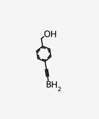 BC#Cc1ccc(CO)cc1